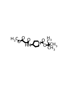 COC(=O)CC(=O)NC1CCN(C(=O)OC(C)(C)C)CC1